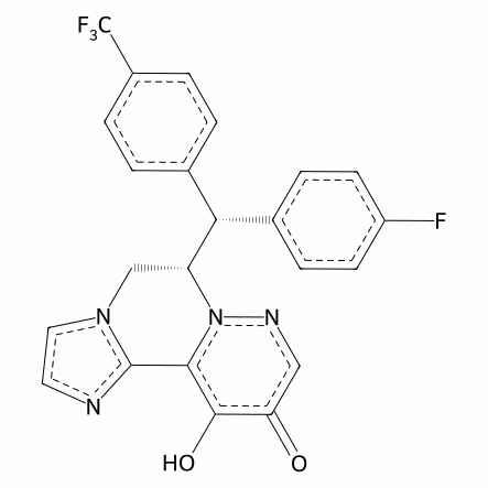 O=c1cnn2c(c1O)-c1nccn1C[C@@H]2[C@@H](c1ccc(F)cc1)c1ccc(C(F)(F)F)cc1